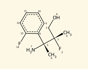 C[C@](F)(CO)[C@](C)(N)c1ccccc1F